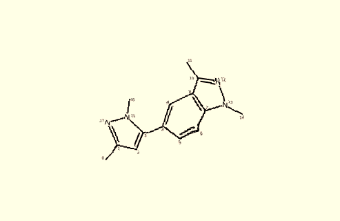 Cc1cc(-c2ccc3c(c2)c(C)nn3C)n(C)n1